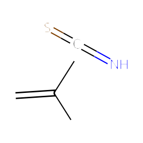 C=C(C)C.N=C=S